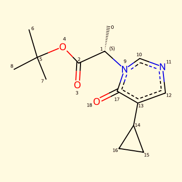 C[C@@H](C(=O)OC(C)(C)C)n1cncc(C2CC2)c1=O